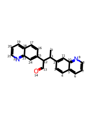 [CH2]C(c1ccc2cccnc2c1)C(C=O)c1ccc2cccnc2c1